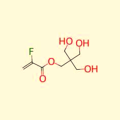 C=C(F)C(=O)OCC(CO)(CO)CO